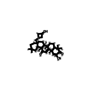 CC1(C)CC[C@]2(CN3CC(O)C3)CC[C@]3(C)[C@H](C(=O)C=C4[C@@]5(C)C=C(C#N)C(=O)C(C)(C)C5CC[C@]43C)C2C1